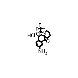 Cl.Nc1ccc2c(c1)C(=O)C1(CCCCN1C(=O)C(F)(F)F)CC2